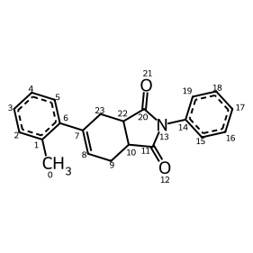 Cc1ccccc1C1=CCC2C(=O)N(c3ccccc3)C(=O)C2C1